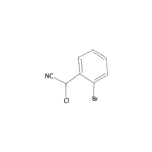 N#CC(Cl)c1ccccc1Br